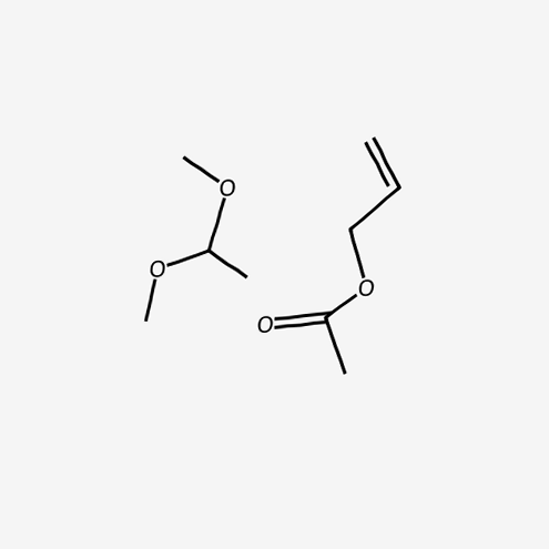 C=CCOC(C)=O.COC(C)OC